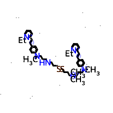 CC[n+]1ccccc1/C=C/c1ccc(N(C)CCCNCCCSSCCC[N+](C)(C)CCCN(C)c2ccc(/C=C/c3cccc[n+]3CC)cc2)cc1